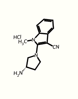 Cl.Cn1c(N2CC[C@H](N)C2)c(C#N)c2ccccc21